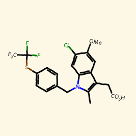 COc1cc2c(CC(=O)O)c(C)n(Cc3ccc(SC(F)(F)C(F)(F)F)cc3)c2cc1Cl